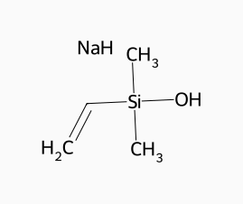 C=C[Si](C)(C)O.[NaH]